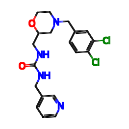 O=C(NCc1cccnc1)NCC1CN(Cc2ccc(Cl)c(Cl)c2)CCO1